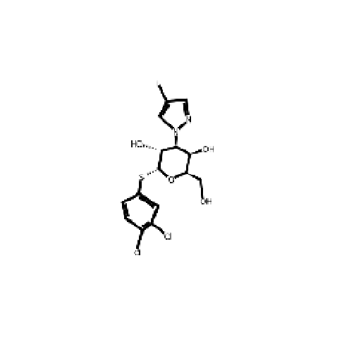 OC[C@H]1O[C@H](Sc2ccc(Cl)c(Cl)c2)[C@H](O)[C@@H](n2cc(I)cn2)[C@H]1O